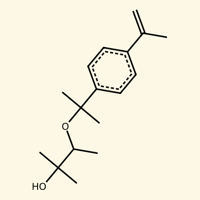 C=C(C)c1ccc(C(C)(C)OC(C)C(C)(C)O)cc1